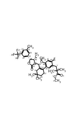 COC(=O)C(C)(C)Cc1cc(C2=C(CN3C(=O)O[C@H](c4cc(C)cc(C(F)(F)F)c4)[C@@H]3C)CC(C)(C)CC2)c(OC)cc1F